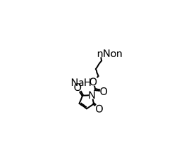 CCCCCCCCCCCCOC(=O)N1C(=O)C=CC1=O.[NaH]